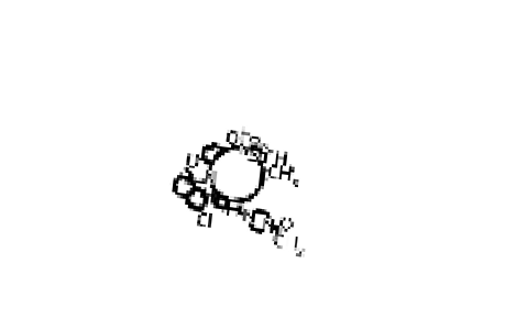 CC(=O)N1CCN(C[C@@H]2CCC[C@H](C)[C@@H](C)S(=O)(=O)NC(=O)c3ccc4c(c3)N(C[C@@H]3CC[C@@H]23)C[C@@]2(CCCc3cc(Cl)ccc32)CO4)CC1